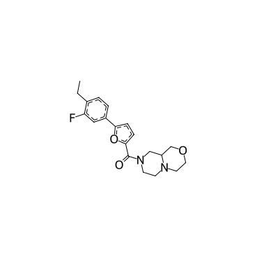 CCc1ccc(-c2ccc(C(=O)N3CCN4CCOCC4C3)o2)cc1F